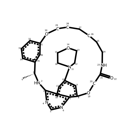 C[C@H]1Nc2ncnc3c(cc(N4CCOCC4)cc23)OCC(=O)NCCCCCCOc2cccc1c2